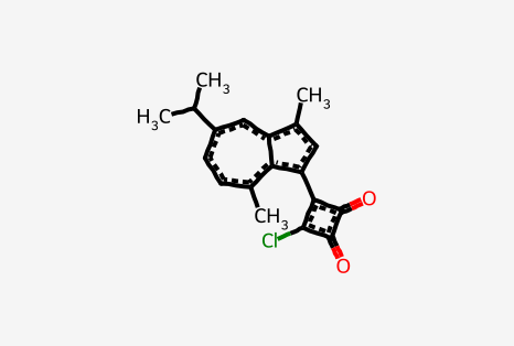 Cc1cc(-c2c(Cl)c(=O)c2=O)c2c(C)ccc(C(C)C)cc1-2